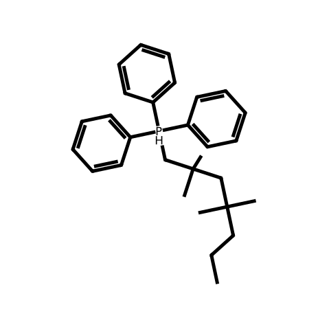 CCCC(C)(C)CC(C)(C)C[PH](c1ccccc1)(c1ccccc1)c1ccccc1